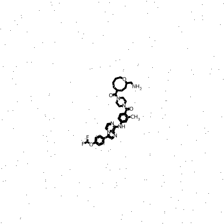 Cc1cc(Nc2nccn3c(-c4ccc(OC(F)F)cc4)cnc23)ccc1C(=O)N1CCN(C(=O)C2CCCCOC(CN)CC2)CC1